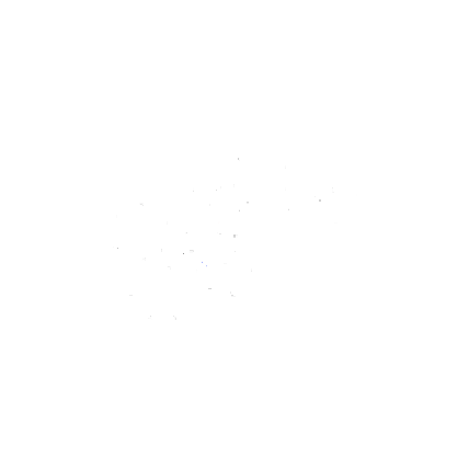 CC(C)(C)[Si](C)(C)Oc1ccccc1C[C@@H](O)[C@@H]1CCCN1C(c1ccccc1)(c1ccccc1)c1ccccc1